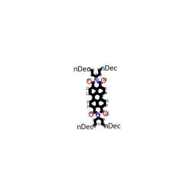 CCCCCCCCCCCCC(CCCCCCCCCCCC)N1C(=O)c2ccc3c4ccc5c6c(ccc(c7ccc(c2c37)C1=O)c64)C(=O)N(C(CCCCCCCCCCCC)CCCCCCCCCCCC)C5=O